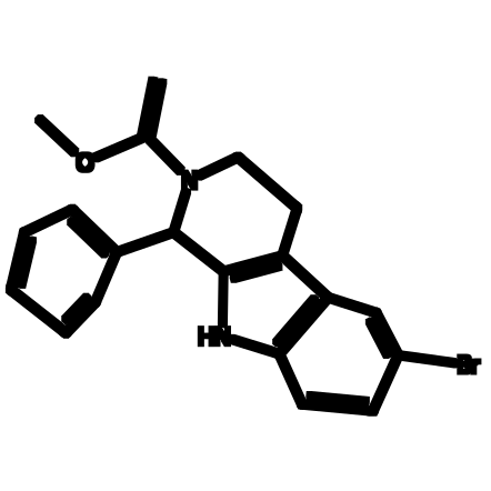 C=C(OC)N1CCc2c([nH]c3ccc(Br)cc23)C1c1ccccc1